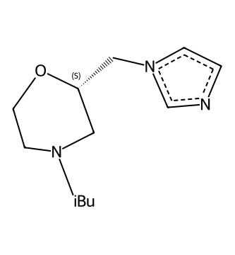 CCC(C)N1CCO[C@H](Cn2ccnc2)C1